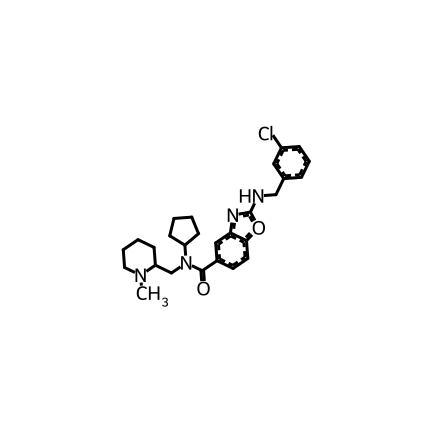 CN1CCCCC1CN(C(=O)c1ccc2oc(NCc3cccc(Cl)c3)nc2c1)C1CCCC1